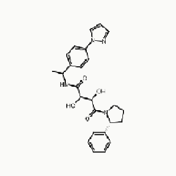 CC(NC(=O)C(O)[C@@H](O)C(=O)N1CCC[C@@H]1c1ccccc1)c1ccc(-n2cccn2)cc1